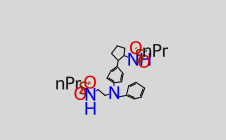 CCCS(=O)(=O)NCCN(Cc1ccccc1)c1ccc(C2CCCC2NS(=O)(=O)CCC)cc1